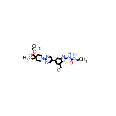 CCNC(=O)Nc1nc2cc(-c3cnc(N4CCC(CC)(C(=O)OCC)CC4)nc3)cc(C=O)c2s1